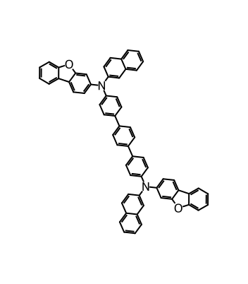 c1ccc2cc(N(c3ccc(-c4ccc(-c5ccc(N(c6ccc7ccccc7c6)c6ccc7c(c6)oc6ccccc67)cc5)cc4)cc3)c3ccc4c(c3)oc3ccccc34)ccc2c1